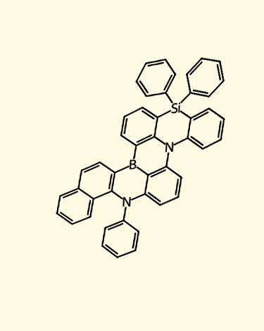 c1ccc(N2c3cccc4c3B(c3cccc5c3N4c3ccccc3[Si]5(c3ccccc3)c3ccccc3)c3ccc4ccccc4c32)cc1